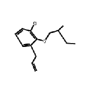 C=CCc1cccc(Cl)c1OCC(C)CC